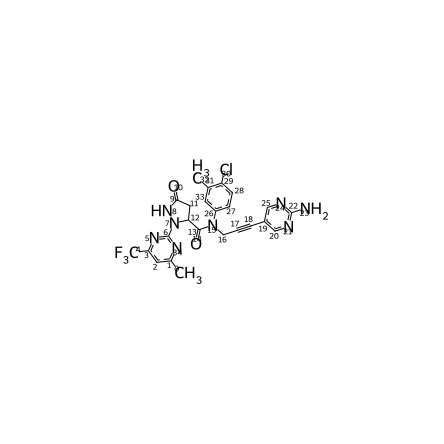 Cc1cc(C(F)(F)F)nc(N2NC(=O)CC2C(=O)N(CC#Cc2cnc(N)nc2)c2ccc(Cl)c(C)c2)n1